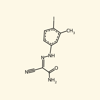 Cc1cc(NN=C(C#N)C(N)=O)ccc1I